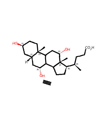 C#C.C[C@H](CCC(=O)O)[C@H]1CCC2C3C(C[C@H](O)[C@@]21C)[C@@]1(C)CC[C@H](O)C[C@H]1C[C@H]3O